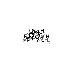 CN(C(=O)OC(C)(C)C)[C@@H]1COc2cc(C(F)(F)F)ncc21